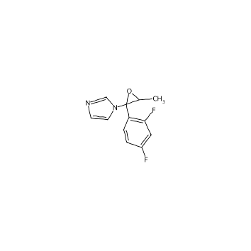 CC1OC1(c1ccc(F)cc1F)n1ccnc1